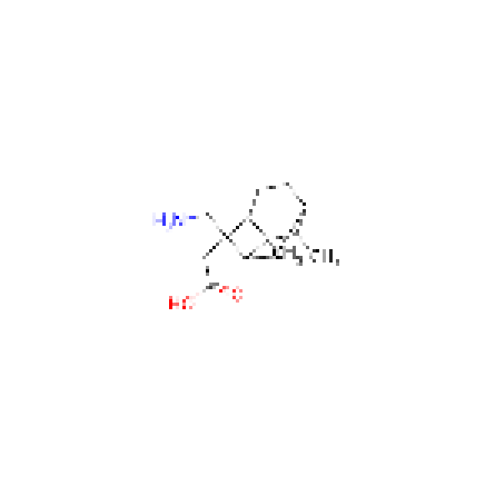 CC1C2CCC3C(CN)(CC(=O)O)C(C2)C13C